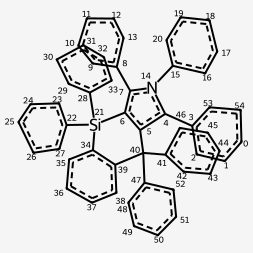 c1ccc(-c2c3c(c(-c4ccccc4)n2-c2ccccc2)[Si](c2ccccc2)(c2ccccc2)c2ccccc2C3(c2ccccc2)c2ccccc2)cc1